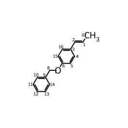 CC=Cc1ccc(OCc2ccccc2)cc1